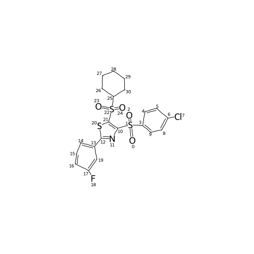 O=S(=O)(c1ccc(Cl)cc1)c1nc(-c2cccc(F)c2)sc1S(=O)(=O)C1CCCCC1